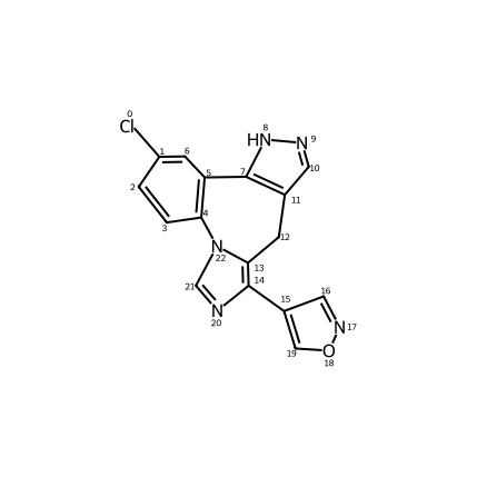 Clc1ccc2c(c1)-c1[nH]ncc1Cc1c(-c3cnoc3)ncn1-2